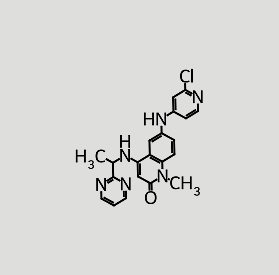 CC(Nc1cc(=O)n(C)c2ccc(Nc3ccnc(Cl)c3)cc12)c1ncccn1